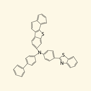 c1ccc(-c2ccc(N(c3ccc(-c4nc5ccccc5s4)cc3)c3ccc4c(c3)sc3c5ccccc5ccc43)cc2)cc1